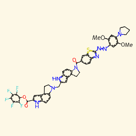 COc1cc(N2CCCC2)c(OC)cc1/N=N/c1nc2ccc(C(=O)N3CCc4c3ccc3[nH]c(CN5CCc6c5ccc5[nH]c(C(=O)Oc7c(F)c(F)c(F)c(F)c7F)cc65)cc43)cc2s1